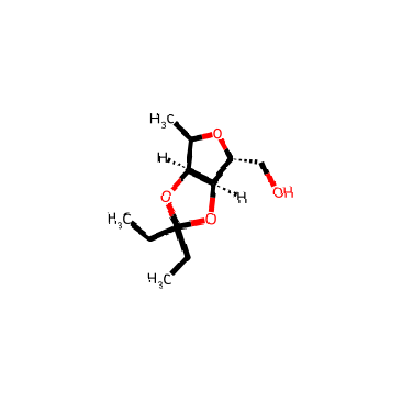 CCC1(CC)O[C@@H]2[C@@H](CO)OC(C)[C@@H]2O1